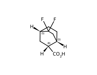 O=C(O)[C@@H]1C[C@@H]2CC[C@H]1CC2(F)F